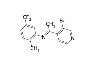 C/C(=N\c1cc(C(F)(F)F)ccc1C)c1ccncc1Br